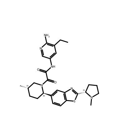 CCc1cc(NC(=O)C(=O)N2C[C@@H](C)CC[C@@H]2c2ccc3sc([C@@H]4CCCN4C)nc3c2)cnc1N